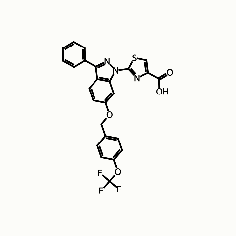 O=C(O)c1csc(-n2nc(-c3ccccc3)c3ccc(OCc4ccc(OC(F)(F)F)cc4)cc32)n1